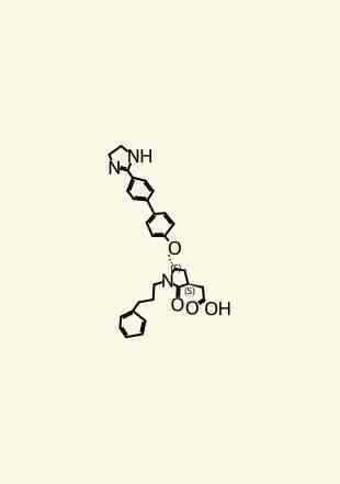 O=C(O)C[C@@H]1C[C@@H](COc2ccc(-c3ccc(C4=NCCN4)cc3)cc2)N(CCCc2ccccc2)C1=O